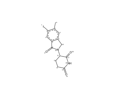 Cc1cc2c(cc1I)C(=O)N(C1CCC(=O)NC1=O)C2